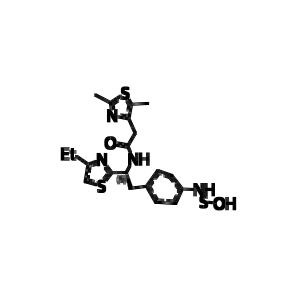 CCc1csc([C@H](Cc2ccc(NSO)cc2)NC(=O)Cc2nc(C)sc2C)n1